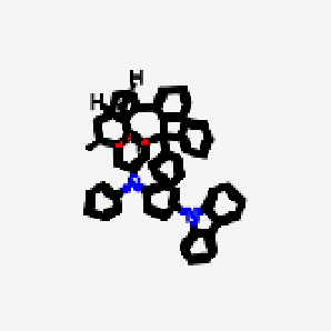 C[C@H]1C[C@@H]2C[C@@H]3C[C@H](C1)C21c2ccc(N(c4ccccc4)c4ccc(-n5c6ccccc6c6ccccc65)cc4)cc2C(c2ccccc2)(c2ccccc2)c2ccccc2C31